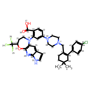 CC1(C)CCC(CN2CCN(c3ccc(C(=O)O)c(N4CCC(C(F)(F)F)Oc5nc6[nH]ccc6cc54)c3)CC2)=C(c2ccc(Cl)cc2)C1